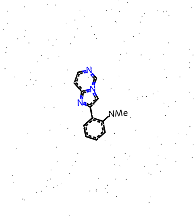 CNc1ccccc1-c1cn2cnccc2n1